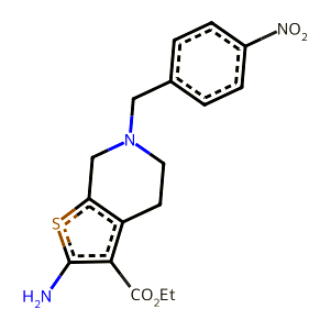 CCOC(=O)c1c(N)sc2c1CCN(Cc1ccc([N+](=O)[O-])cc1)C2